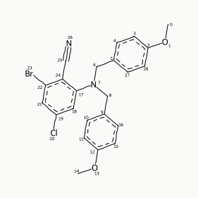 COc1ccc(CN(Cc2ccc(OC)cc2)c2cc(Cl)cc(Br)c2C#N)cc1